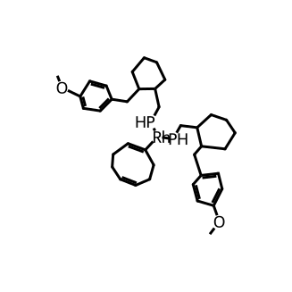 COc1ccc(CC2CCCCC2C[PH][Rh]([PH]CC2CCCCC2Cc2ccc(OC)cc2)[C]2=CCCC=CCC2)cc1